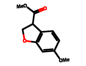 COC(=O)C1COc2cc(OC)ccc21